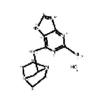 Cl.Nc1nc(NC2CN3CCN2CC3)c2[nH]cnc2n1